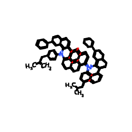 CC(C)Cc1ccc(N(c2c(-c3ccccc3)ccc3ccc(-c4ccccc4)cc23)c2ccc3ccc4c(N(c5ccc(CC(C)C)cc5)c5c(-c6ccccc6)ccc6ccc(-c7ccccc7)cc56)ccc5ccc2c3c54)cc1